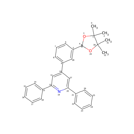 CC1(C)OB(c2cccc(-c3cc(-c4ccccc4)nc(-c4ccccc4)c3)c2)OC1(C)C